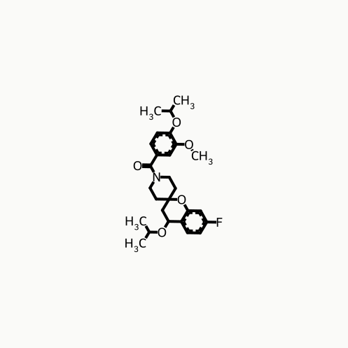 COc1cc(C(=O)N2CCC3(CC2)CC(OC(C)C)c2ccc(F)cc2O3)ccc1OC(C)C